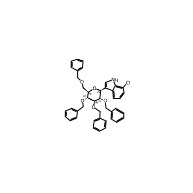 Clc1cccc2c([C@@H]3O[C@H](COCc4ccccc4)[C@@H](OCc4ccccc4)[C@H](OCc4ccccc4)[C@H]3OCc3ccccc3)c[nH]c12